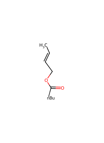 CC=CCOC(=O)CCCC